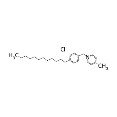 CCCCCCCCCCCCc1ccc(C[n+]2ccc(C)cc2)cc1.[Cl-]